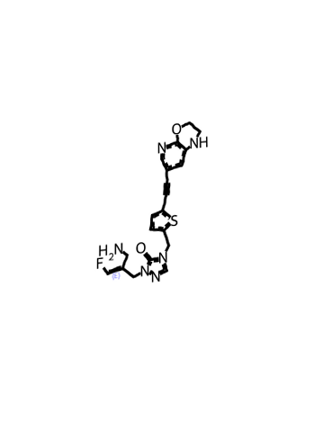 NC/C(=C\F)Cn1ncn(Cc2ccc(C#Cc3cnc4c(c3)NCCO4)s2)c1=O